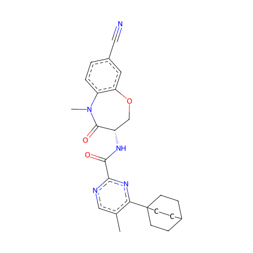 Cc1cnc(C(=O)N[C@H]2COc3cc(C#N)ccc3N(C)C2=O)nc1C12CCC(CC1)CC2